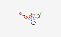 O=S1(=O)N(CCOCCBr)c2ccccc2N1c1ccc(F)cc1Cl